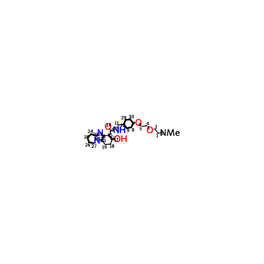 CNCCOCCOc1ccc(CNC(=O)C2=C(O)CCc3c2nc2ccccn32)cc1